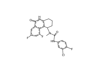 CN(C(=O)Nc1ccc(F)c(Cl)c1)C1CCCc2[nH]c(=O)c3cc(F)cc(F)c3c21